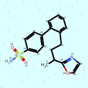 CC(CCc1ccccc1-c1ccc(S(N)(=O)=O)cc1)c1ncco1